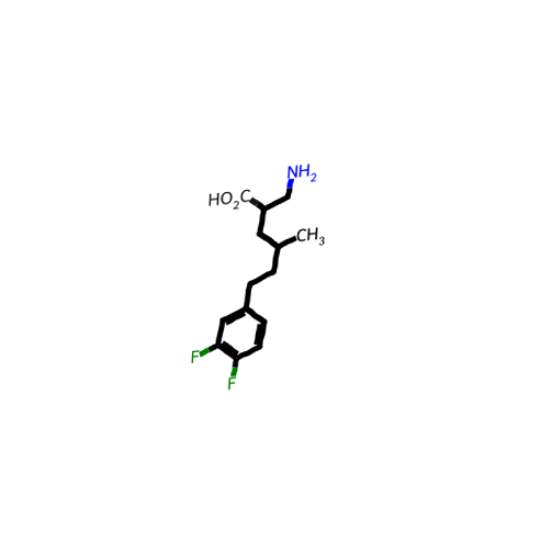 CC(CCc1ccc(F)c(F)c1)CC(CN)C(=O)O